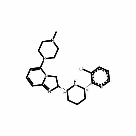 CN1CCN(C2=CC=CC3=NC([C@H]4CCC[C@@H](c5ncccc5Cl)N4)CN23)CC1